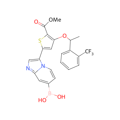 COC(=O)c1sc(-c2cnc3cc(B(O)O)ccn23)cc1OC(C)c1ccccc1C(F)(F)F